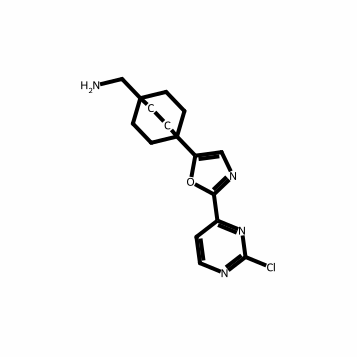 NCC12CCC(c3cnc(-c4ccnc(Cl)n4)o3)(CC1)CC2